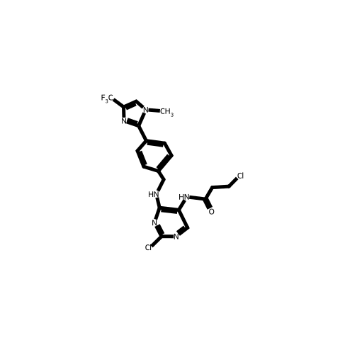 Cn1cc(C(F)(F)F)nc1-c1ccc(CNc2nc(Cl)ncc2NC(=O)CCCl)cc1